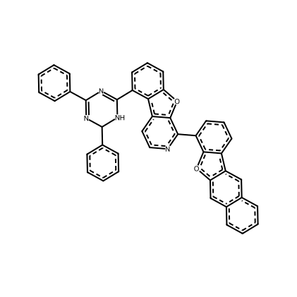 c1ccc(C2=NC(c3ccccc3)NC(c3cccc4oc5c(-c6cccc7c6oc6cc8ccccc8cc67)nccc5c34)=N2)cc1